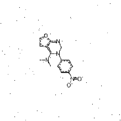 CN(C)C1=c2ccoc2=NCN1c1ccc([N+](=O)[O-])cc1